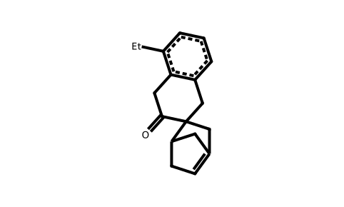 CCc1cccc2c1CC(=O)C1(CC3=CCC1C3)C2